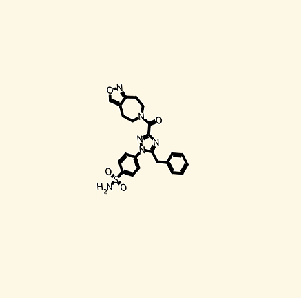 NS(=O)(=O)c1ccc(-n2nc(C(=O)N3CCc4conc4CC3)nc2Cc2ccccc2)cc1